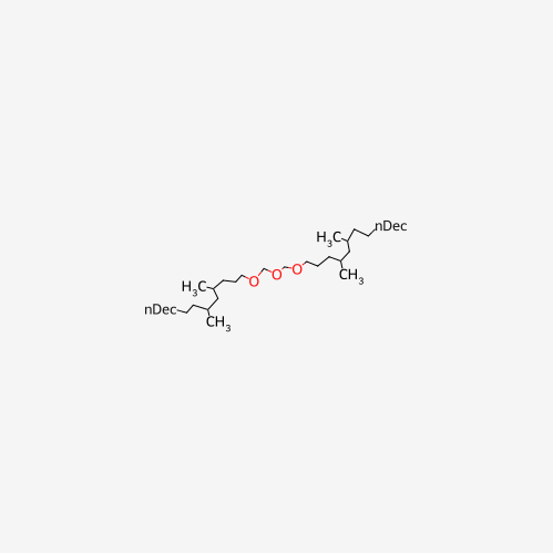 CCCCCCCCCCCCC(C)CC(C)CCCOCOCOCCCC(C)CC(C)CCCCCCCCCCCC